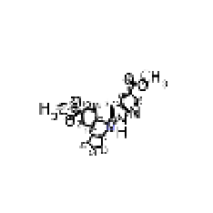 COC(=O)c1cnc2[nH]c(/C(=C/C3CCCC3)c3ccc(S(C)(=O)=O)cc3)cc2c1